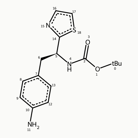 CC(C)(C)OC(=O)N[C@@H](Cc1ccc(N)cc1)c1nccs1